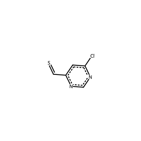 S=Cc1cc(Cl)ncn1